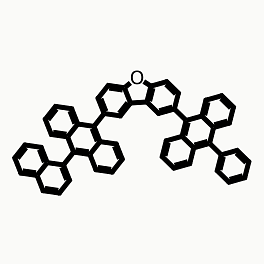 c1ccc(-c2c3ccccc3c(-c3ccc4oc5ccc(-c6c7ccccc7c(-c7cccc8ccccc78)c7ccccc67)cc5c4c3)c3ccccc23)cc1